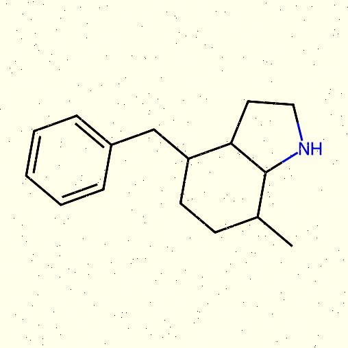 CC1CCC(Cc2ccccc2)C2CCNC12